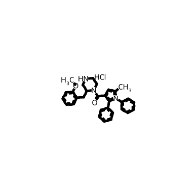 COc1ccccc1CC1CNCCN1C(=O)c1cc(C)n(-c2ccccc2)c1-c1ccccc1.Cl